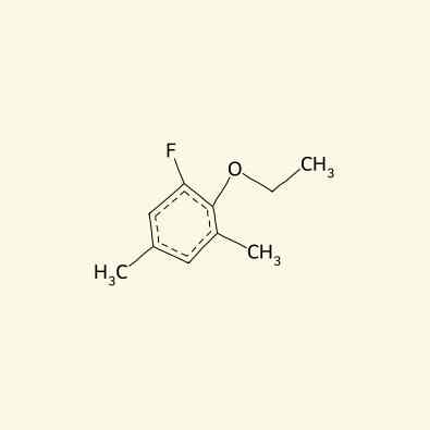 CCOc1c(C)cc(C)cc1F